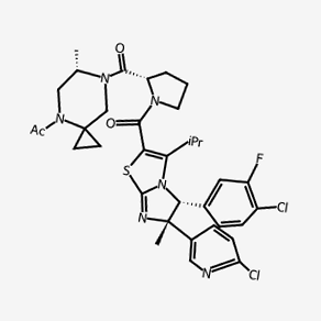 CC(=O)N1C[C@H](C)N(C(=O)[C@@H]2CCCN2C(=O)C2=C(C(C)C)N3C(=N[C@@](C)(c4ccc(Cl)nc4)[C@H]3c3ccc(Cl)c(F)c3)S2)CC12CC2